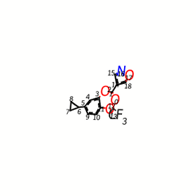 O=C(Oc1cc(C2CC2)ccc1OC(F)(F)F)c1cnoc1